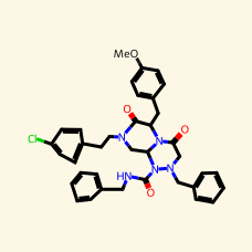 COc1ccc(CC2C(=O)N(CCc3ccc(Cl)cc3)CC3N2C(=O)CN(Cc2ccccc2)N3C(=O)NCc2ccccc2)cc1